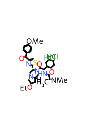 CCO[C@@H]1C[C@@H]2CN(C(=O)[C@@H](NC(=O)[C@H](C)NC)C3CCCCC3)[C@H](c3nc(C(=O)c4ccc(OC)cc4)cs3)CN2C1.Cl.Cl